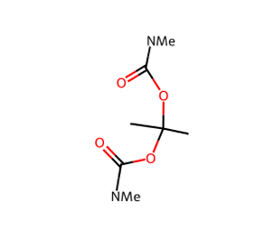 CNC(=O)OC(C)(C)OC(=O)NC